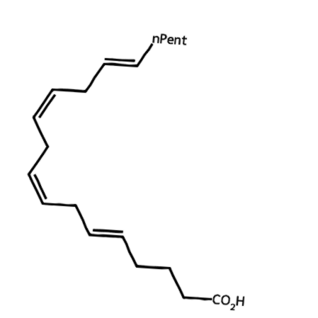 CCCCC/C=C/C/C=C\C/C=C\C/C=C/CCCC(=O)O